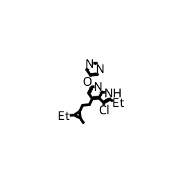 CCc1[nH]c2nc(Oc3cncnc3)cc(CCC3C(C)C3CC)c2c1Cl